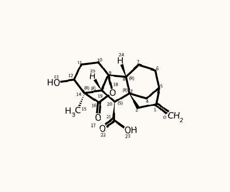 C=C1C[C@]23CC1CC[C@H]2C12CCC(O)[C@](C)(C(=O)O1)[C@H]2[C@@H]3C(=O)O